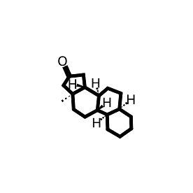 C[C@@]12CC[C@H]3[C@@H]4CCCC[C@@H]4CC[C@@H]3[C@H]1CC(=O)C2